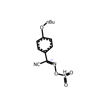 CCCCOc1ccc(/C(C#N)=N/O[SH](=O)=O)cc1